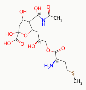 CSCC[C@@H](N)C(=O)OC[C@@H](O)CC1OC(O)(C(=O)O)CC(O)C1[C@H](O)NC(C)=O